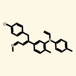 C=CN(c1ccc(C)cc1)c1cc(/C(=C/C=N\C)Cc2ccc(Cl)cc2)ccc1C